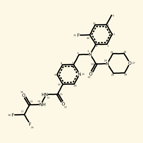 Cc1ccc(N(Cc2ccc(C(=O)NNC(=O)C(F)F)cn2)C(=O)N2CCOCC2)c(F)c1